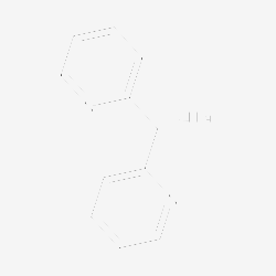 Br.Br.c1ccc(Cc2ccccn2)nc1